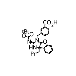 CC(C)C[C@@]1(c2ccccc2)NC(=NC(=O)OC(C)(C)C)N(Cc2cccc(C(=O)O)c2)C1=O